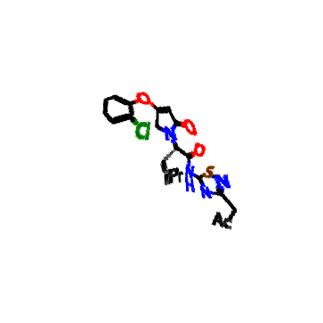 CC(=O)Cc1nsc(NC(=O)[C@H](CC(C)C)N2CC(Oc3ccccc3Cl)=CC2=O)n1